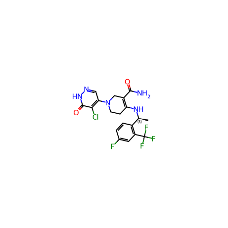 C[C@H](NC1=C(C(N)=O)CN(c2cn[nH]c(=O)c2Cl)CC1)c1ccc(F)cc1C(F)(F)F